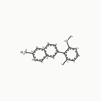 COc1nccc(C)c1-c1ccc2cc(N)ncc2c1